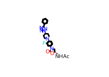 CC(=O)NC[C@H]1CN(c2ccc(N3CCC(n4nnc(-c5ccccc5)n4)CC3)c(F)c2)C(=O)O1